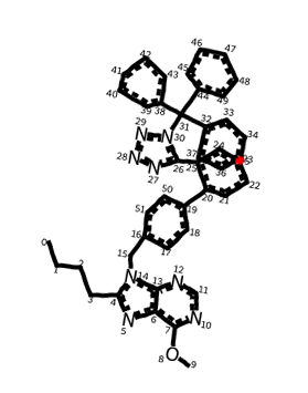 CCCCc1nc2c(OC)ncnc2n1Cc1ccc(-c2ccccc2-c2nnnn2C(c2ccccc2)(c2ccccc2)c2ccccc2)cc1